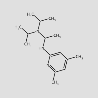 Cc1cc(C)nc(NC(C)N(C(C)C)C(C)C)c1